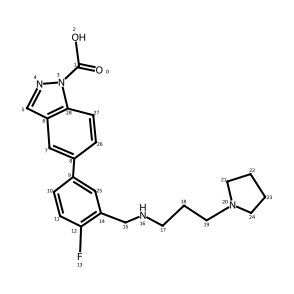 O=C(O)n1ncc2cc(-c3ccc(F)c(CNCCCN4CCCC4)c3)ccc21